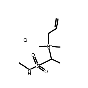 C=CC[N+](C)(C)C(C)S(=O)(=O)NC.[Cl-]